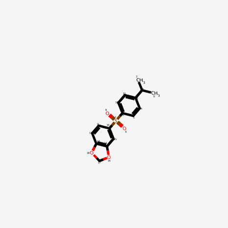 CC(C)c1ccc(S(=O)(=O)c2ccc3c(c2)OCO3)cc1